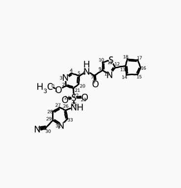 COc1ncc(NC(=O)c2csc(-c3ccccc3)n2)cc1S(=O)(=O)Nc1ccc(C#N)nc1